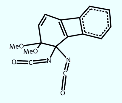 COC1(OC)C=CC2=C(c3ccccc32)C1(N=C=O)N=C=O